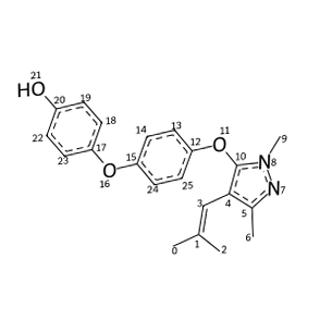 CC(C)=Cc1c(C)nn(C)c1Oc1ccc(Oc2ccc(O)cc2)cc1